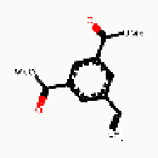 C=[C]c1cc(C(=O)OC)cc(C(=O)OC)c1